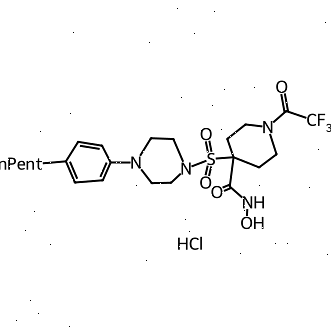 CCCCCc1ccc(N2CCN(S(=O)(=O)C3(C(=O)NO)CCN(C(=O)C(F)(F)F)CC3)CC2)cc1.Cl